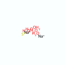 O.O.O.O.O.[Na+].[Na+].[S-2]